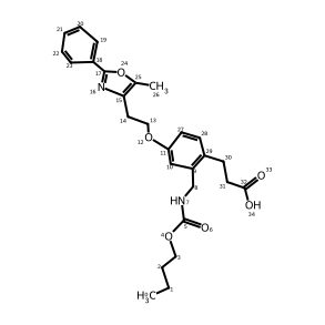 CCCCOC(=O)NCc1cc(OCCc2nc(-c3ccccc3)oc2C)ccc1CCC(=O)O